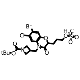 CC(C)(C)OC(=O)N1CC(CN2C(=O)C(CCCOS(C)(=O)=O)Oc3cc(Br)c(Cl)cc32)C1